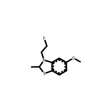 COc1ccc2c(c1)N(CCF)C(C)S2